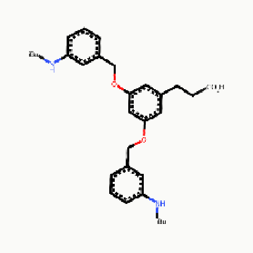 CCC(C)Nc1cccc(COc2cc(CCC(=O)O)cc(OCc3cccc(NC(C)CC)c3)c2)c1